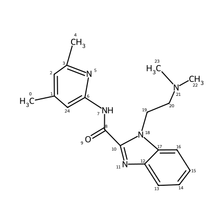 Cc1cc(C)nc(NC(=O)c2nc3ccccc3n2CCN(C)C)c1